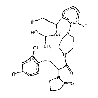 CC(C)CC(NC(C)O)c1cccc(F)c1N1CCN(C(=O)C(Cc2ccc(Cl)cc2Cl)N2CCCC2=O)CC1